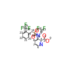 COC(=O)c1ncccc1N(CC(F)F)S(=O)(=O)Cc1ccccc1C(F)(F)F